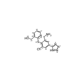 NCc1cc(-c2nnn[nH]2)cc(Cl)c1Sc1ncccc1CO